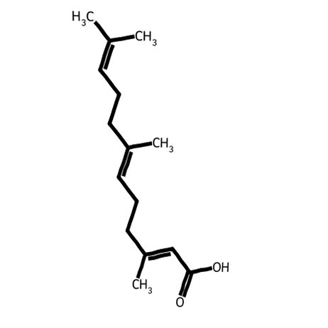 CC(C)=CCC/C(C)=C/CCC(C)=CC(=O)O